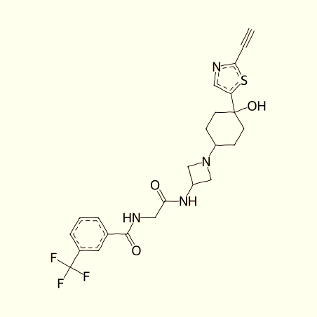 C#Cc1ncc(C2(O)CCC(N3CC(NC(=O)CNC(=O)c4cccc(C(F)(F)F)c4)C3)CC2)s1